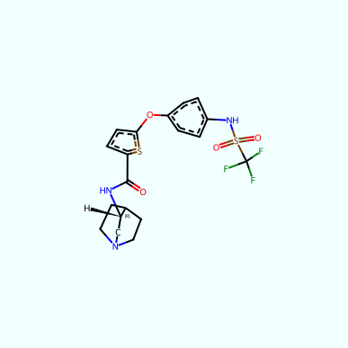 O=C(N[C@H]1CN2CCC1CC2)c1ccc(Oc2ccc(NS(=O)(=O)C(F)(F)F)cc2)s1